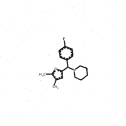 Cc1cc(C(c2ccc(F)cc2)N2CCCCC2)oc1C